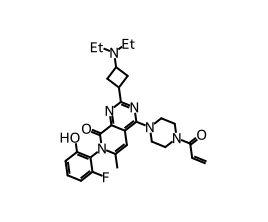 C=CC(=O)N1CCN(c2nc(C3CC(N(CC)CC)C3)nc3c(=O)n(-c4c(O)cccc4F)c(C)cc23)CC1